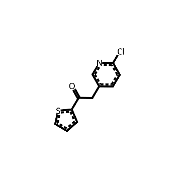 O=C(Cc1ccc(Cl)nc1)c1cccs1